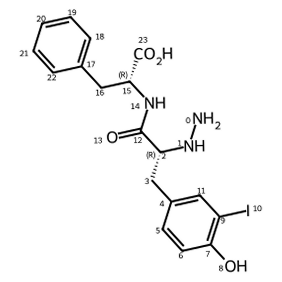 NN[C@H](Cc1ccc(O)c(I)c1)C(=O)N[C@H](Cc1ccccc1)C(=O)O